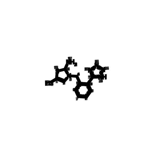 CCC1=CN(Cc2ccccc2-c2nnn[nH]2)C(N)S1